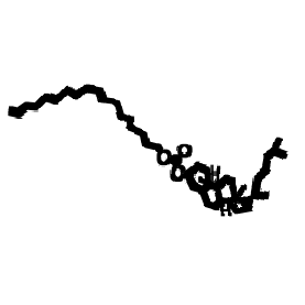 CCCCCCCC/C=C\CCCCCCCCOC(=O)O[C@H]1CC[C@@]2(C)C(=CC[C@H]3[C@@H]4CC[C@H](C(C)CCCC(C)C)[C@@]4(C)CC[C@@H]32)C1